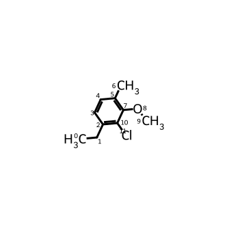 CCc1ccc(C)c(OC)c1Cl